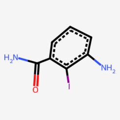 NC(=O)c1cccc(N)c1I